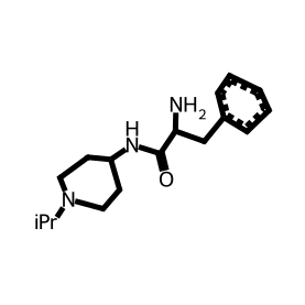 CC(C)N1CCC(NC(=O)C(N)Cc2ccccc2)CC1